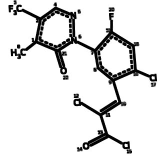 Cc1c(C(F)(F)F)cnn(-c2cc(C=C(Cl)C(=O)Cl)c(Cl)cc2F)c1=O